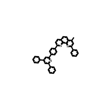 Cc1cc(-c2ccccc2)nc2c1ccc1ccc(-c3ccc(-c4cc(-c5ccccc5)cc(-c5ccccc5)n4)cc3)nc12